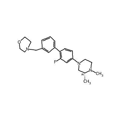 C[C@@H]1CN(c2ccc(-c3cccc(CN4CCOCC4)c3)c(F)c2)CCN1C